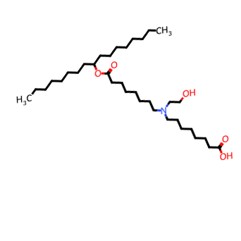 CCCCCCCCC(CCCCCCCC)OC(=O)CCCCCCCN(CCO)CCCCCCCC(=O)O